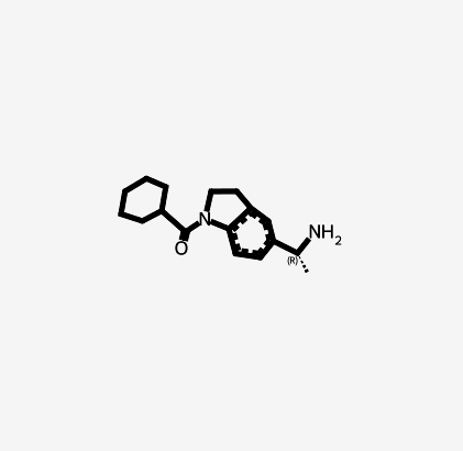 C[C@@H](N)c1ccc2c(c1)CCN2C(=O)C1CCCCC1